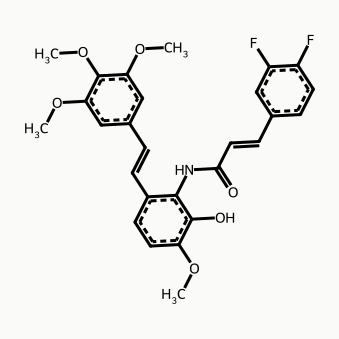 COc1ccc(/C=C/c2cc(OC)c(OC)c(OC)c2)c(NC(=O)/C=C/c2ccc(F)c(F)c2)c1O